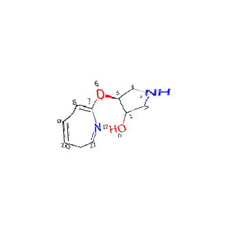 OC1CNC[C@@H]1Oc1ccccn1